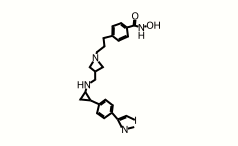 C/N=C\C(=C/I)c1ccc(C2CC2NCC2CN(CCCc3ccc(C(=O)NO)cc3)C2)cc1